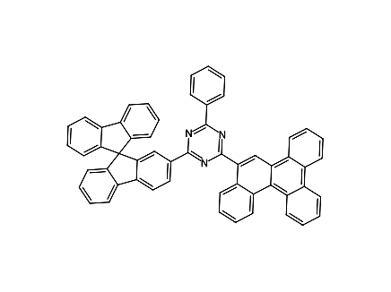 c1ccc(-c2nc(-c3ccc4c(c3)C3(c5ccccc5-c5ccccc53)c3ccccc3-4)nc(-c3cc4c5ccccc5c5ccccc5c4c4ccccc34)n2)cc1